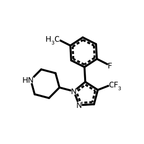 Cc1ccc(F)c(-c2c(C(F)(F)F)cnn2C2CCNCC2)c1